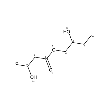 CCC(O)COC(=O)CC(C)O